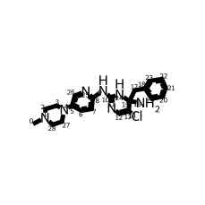 CN1CCN(c2ccc(NC3=NC=C(Cl)C(N)(Cc4ccccc4)N3)nc2)CC1